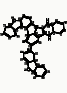 C1=CC2Nc3c(n4c5ccc6oc7ccccc7c6c5c5cc(-c6ccc7oc8ccccc8c7c6)cc3c54)NC2C=C1